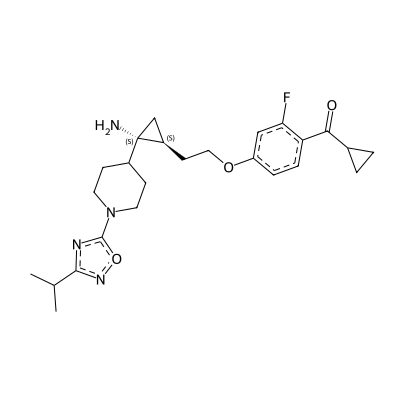 CC(C)c1noc(N2CCC([C@@]3(N)C[C@H]3CCOc3ccc(C(=O)C4CC4)c(F)c3)CC2)n1